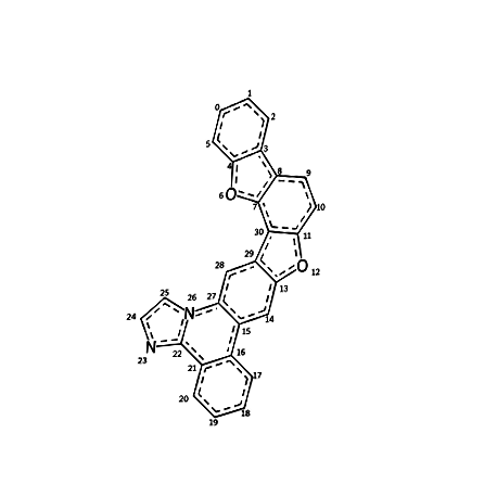 c1ccc2c(c1)oc1c2ccc2oc3cc4c5ccccc5c5nccn5c4cc3c21